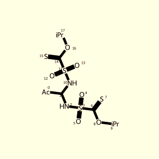 CC(=O)C(NS(=O)(=O)C(=S)OC(C)C)NS(=O)(=O)C(=S)OC(C)C